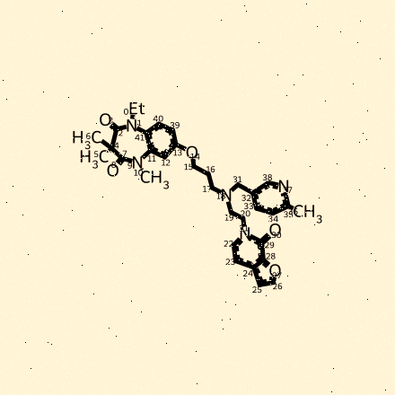 CCN1C(=O)C(C)(C)C(=O)N(C)c2cc(OCCCN(CCn3ccc4ccoc4c3=O)Cc3ccc(C)nc3)ccc21